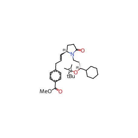 COC(=O)c1ccc(CC=C[C@H]2CCC(=O)N2CC[C@@H](O[Si](C)(C)C(C)(C)C)C2CCCCC2)cc1